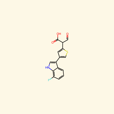 O=CC(C(=O)O)c1cc(-c2c[nH]c3c(F)cccc23)cs1